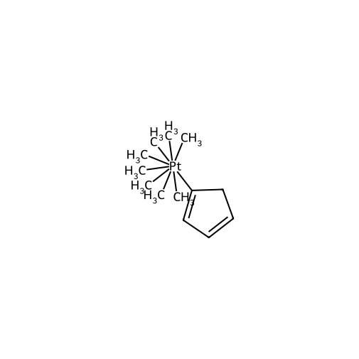 [CH3][Pt]([CH3])([CH3])([CH3])([CH3])([CH3])([CH3])([CH3])[C]1=CC=CC1